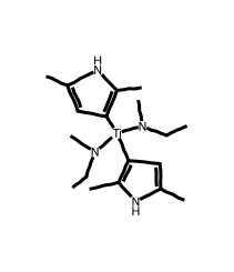 CC[N](C)[Ti]([c]1cc(C)[nH]c1C)([c]1cc(C)[nH]c1C)[N](C)CC